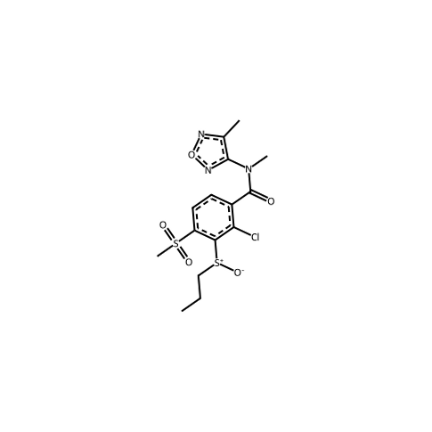 CCC[S+]([O-])c1c(S(C)(=O)=O)ccc(C(=O)N(C)c2nonc2C)c1Cl